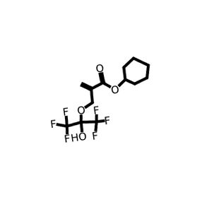 C=C(COC(O)(C(F)(F)F)C(F)(F)F)C(=O)OC1CCCCC1